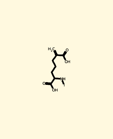 C=C(CCCC(NI)C(=O)O)C(=O)O